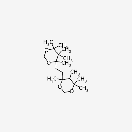 CC1C(C)(C)OCOC1(C)CCC1(C)OCOC(C)(C)C1(C)C